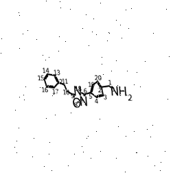 NCc1ccc(-c2noc(CCc3ccccc3)n2)cc1